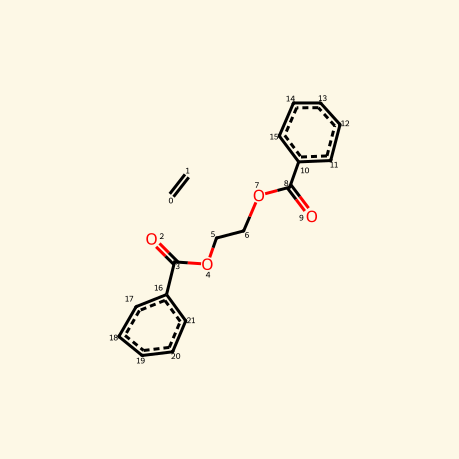 C=C.O=C(OCCOC(=O)c1ccccc1)c1ccccc1